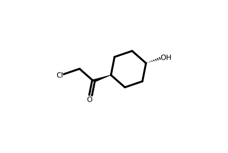 O=C(CCl)[C@H]1CC[C@H](O)CC1